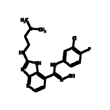 CN(C)CCNc1nc2nccc(/C(=N/O)Nc3ccc(F)c(Cl)c3)c2[nH]1